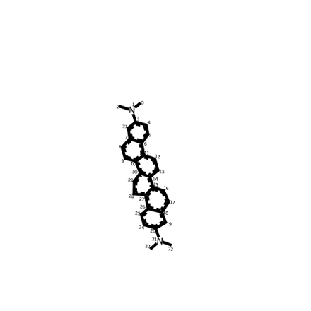 CN(C)c1ccc2c(ccc3c2ccc2c4ccc5cc(N(C)C)ccc5c4ccc32)c1